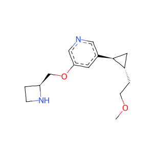 COCC[C@H]1C[C@@H]1c1cncc(OC[C@@H]2CCN2)c1